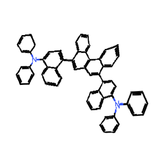 C1=CCCC(N(c2ccccc2)c2ccc(-c3cc4cc(-c5ccc(N(c6ccccc6)c6ccccc6)c6ccccc56)c5ccccc5c4c4ccccc34)c3ccccc23)=C1